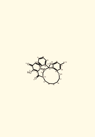 O=C1c2c(O)c(=O)ccn2N2CN1CCCCCOc1cc(F)ccc1[C@@]2(S)c1ccccc1